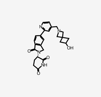 O=C1CC[C@H](N2Cc3cc(-c4cc(CN5CC6(CC(O)C6)C5)ccn4)ccc3C2=O)C(=O)N1